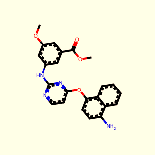 COC(=O)c1cc(Nc2nccc(Oc3ccc(N)c4ccccc34)n2)cc(OC)c1